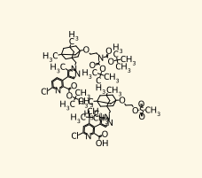 Cc1c(-c2c(C(C)(C)C)cc(Cl)nc2C(=O)O)cnn1CC12CC3(C)CC(C)(C1)CC(OCCOS(C)(=O)=O)(C3)C2.Cc1c(-c2ccc(Cl)nc2C(=O)OC(C)(C)C)cnn1CC12CC3(C)CC(C)(C1)CC(OCCN(C(=O)OC(C)(C)C)C(=O)OC(C)(C)C)(C3)C2